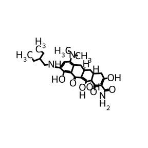 CCC(CC)CNCc1cc(N(C)C)c2c(c1O)C(=O)C1=C(O)[C@]3(O)C(=O)C(C(N)=O)=C(O)C[C@@H]3C[C@@H]1C2